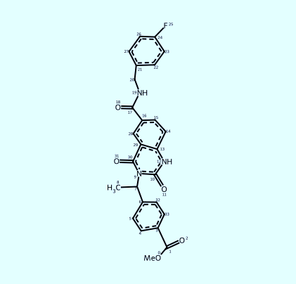 COC(=O)c1ccc(C(C)n2c(=O)[nH]c3ccc(C(=O)NCc4ccc(F)cc4)cc3c2=O)cc1